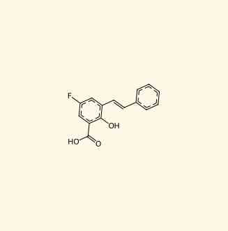 O=C(O)c1cc(F)cc(C=Cc2ccccc2)c1O